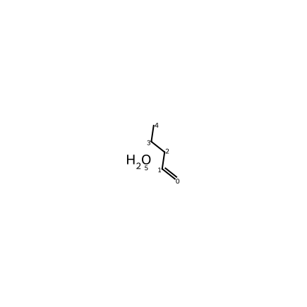 C=CCCC.O